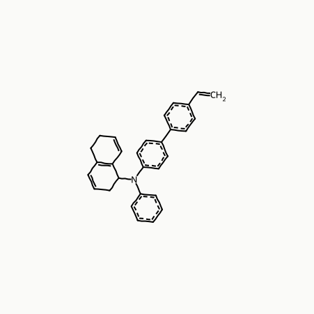 C=Cc1ccc(-c2ccc(N(c3ccccc3)C3CC=CC4=C3C=CCC4)cc2)cc1